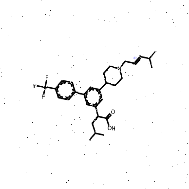 CC(C)/C=C/CN1CCC(c2cc(-c3ccc(C(F)(F)F)cc3)cc(C(CC(C)C)C(=O)O)c2)CC1